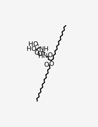 CCCCCCCCCCCCCCCC(=O)OC(CCCCCCCCCCCCCCC)CC(=O)NCC(=O)N[C@@H](CO)C(=O)O